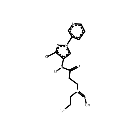 CCN(C(=O)CC/S(CCC(F)(F)F)=N/C#N)c1cn(-c2cccnc2)nc1Cl